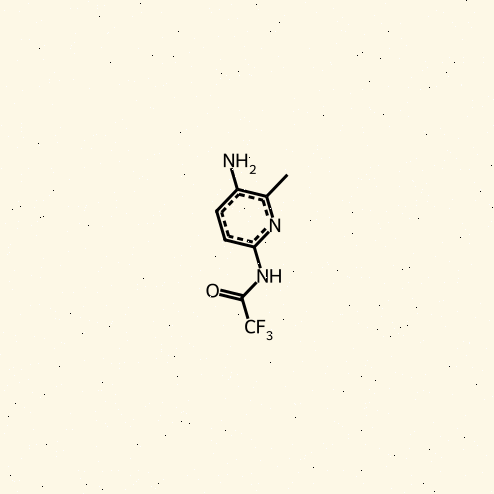 Cc1nc(NC(=O)C(F)(F)F)ccc1N